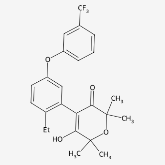 CCc1ccc(Oc2cccc(C(F)(F)F)c2)cc1C1=C(O)C(C)(C)OC(C)(C)C1=O